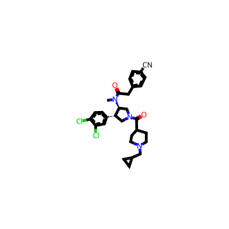 CN(C(=O)Cc1ccc(C#N)cc1)[C@H]1CN(C(=O)C2CCN(CC3CC3)CC2)C[C@@H]1c1ccc(Cl)c(Cl)c1